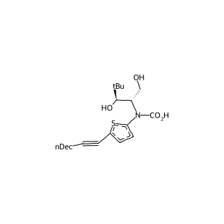 CCCCCCCCCCC#Cc1ccc(N(C(=O)O)[C@@H](CO)[C@@H](O)C(C)(C)C)s1